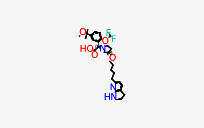 COC(C)(C)c1ccc(OC(F)F)c([C@@H](C(=O)O)N2CC[C@@H](OCCCCCc3ccc4c(n3)NCCC4)C2)c1